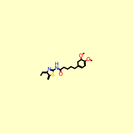 C=c1sc(NC(=O)CCCCC2=CC=C(OC)C(OC)C2)n/c1=C/C